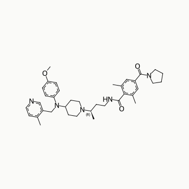 COc1ccc(N(Cc2cnccc2C)C2CCN([C@H](C)CCNC(=O)c3c(C)cc(C(=O)N4CCCC4)cc3C)CC2)cc1